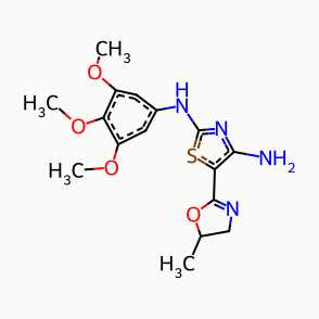 COc1cc(Nc2nc(N)c(C3=NCC(C)O3)s2)cc(OC)c1OC